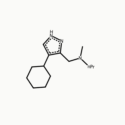 CCCN(C)Cc1n[nH]cc1C1CCCCC1